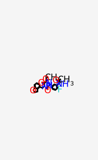 COc1nn(-c2ccc(F)c(NC(C)=O)c2)c(=O)n(Cc2cccc3c2CCO3)c1=O